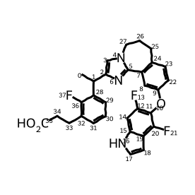 CC(c1cn2c(n1)-c1cc(Oc3c(F)cc4[nH]ccc4c3F)ccc1CCC2)c1cccc(CCC(=O)O)c1F